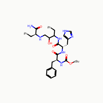 CC(C)CC(NC(=O)[C@H](Cc1c[nH]cn1)NC(=O)[C@H](Cc1ccccc1)NC(=O)OC(C)(C)C)C(O)CN[C@@H](CC(C)C)C(N)=O